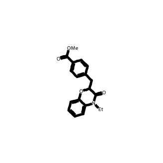 CCN1C(=O)C(Cc2ccc(C(=O)OC)cc2)Oc2ccccc21